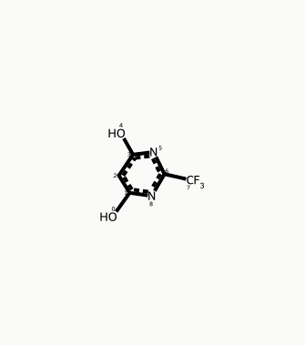 Oc1cc(O)nc(C(F)(F)F)n1